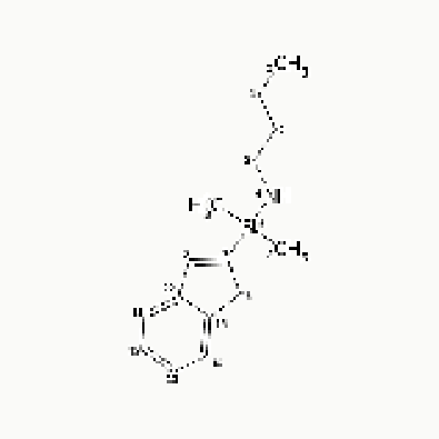 CCCCN[Si](C)(C)C1=Cc2ccccc2C1